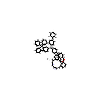 C=C1/C=C\C=C/Cc2ccccc2C2(c3ccccc31)c1ccccc1-c1ccc(-c3ccc(N(c4ccc(-c5ccccc5)cc4)c4ccc5c(c4)C(c4ccccc4)(c4ccccc4)c4ccccc4-5)cc3)cc12